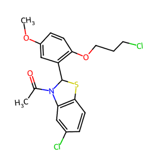 COc1ccc(OCCCCl)c(C2Sc3ccc(Cl)cc3N2C(C)=O)c1